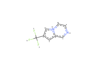 FC(F)(F)c1cc2cnccn2c1